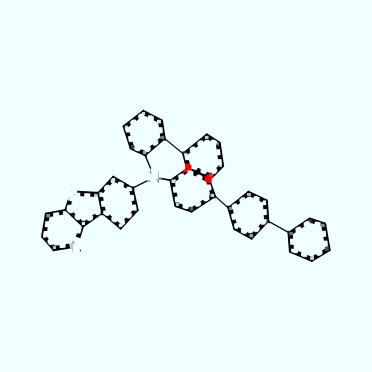 c1ccc(-c2ccc(-c3ccc(N(c4ccc5c(c4)sc4cccnc45)c4ccccc4-c4ccccc4)cc3)cc2)cc1